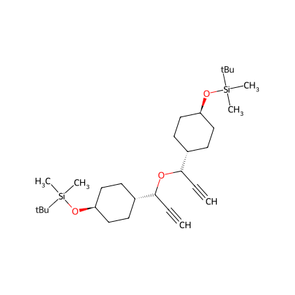 C#CC(OC(C#C)[C@H]1CC[C@H](O[Si](C)(C)C(C)(C)C)CC1)[C@H]1CC[C@H](O[Si](C)(C)C(C)(C)C)CC1